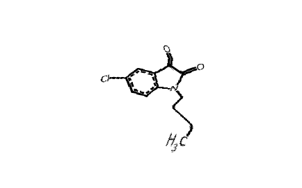 CCCCN1C(=O)C(=O)c2cc(Cl)ccc21